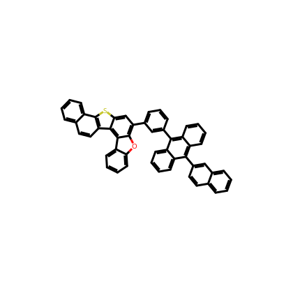 c1cc(-c2c3ccccc3c(-c3ccc4ccccc4c3)c3ccccc23)cc(-c2cc3sc4c5ccccc5ccc4c3c3c2oc2ccccc23)c1